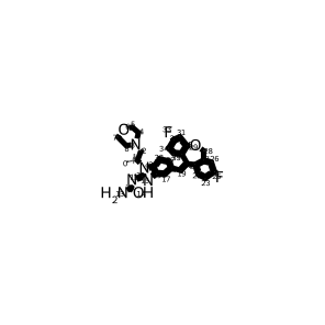 C[C@H](CN1CCOCC1)n1c(=NC(N)=O)[nH]c2cc(C=C3c4ccc(F)cc4COc4cc(F)ccc43)ccc21